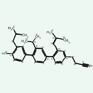 CC(C)Cc1cc(-c2ccc(-c3ccc(CCC#N)cc3CC(C)C)cc2C(C)C)ccc1O